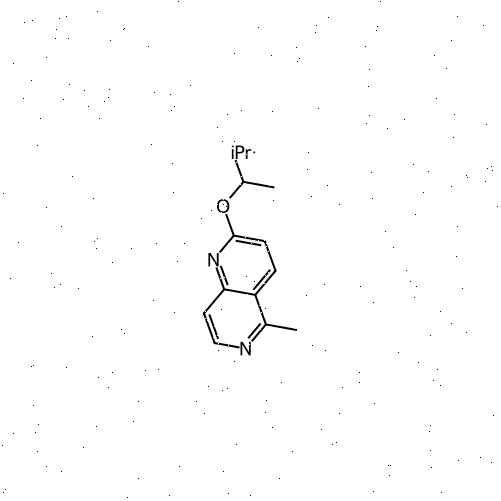 C[C](C)C(C)Oc1ccc2c(C)nccc2n1